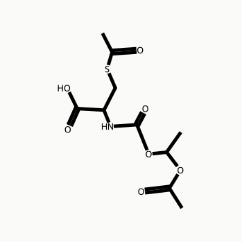 CC(=O)OC(C)OC(=O)NC(CSC(C)=O)C(=O)O